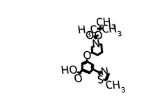 Cc1cnc(-c2cc(OC3CCCN(C(=O)OC(C)(C)C)C3)cc(C(=O)O)c2)s1